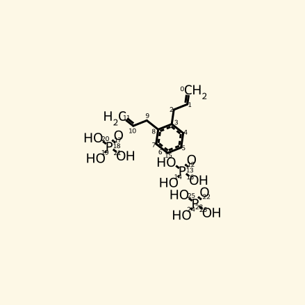 C=CCc1ccccc1CC=C.O=P(O)(O)O.O=P(O)(O)O.O=P(O)(O)O